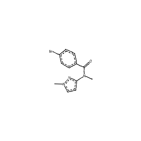 CN(C(=O)c1ccc(Br)cc1)c1ccn(C)n1